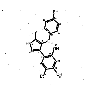 CCc1cc(-c2n[nH]c(C)c2Oc2ccc(F)cc2)c(O)cc1O